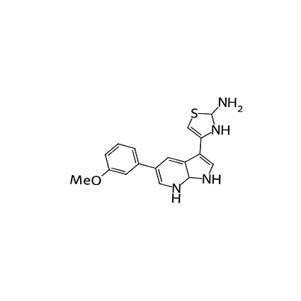 COc1cccc(C2=CNC3NC=C(C4=CSC(N)N4)C3=C2)c1